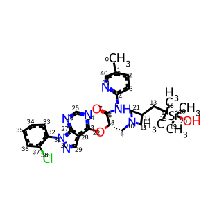 Cc1ccc(NC(=O)[C@H](CN2CC(CC(C)(C)[Si](C)(C)O)C2)Oc2ncnc3c2cnn3-c2ccccc2Cl)nc1